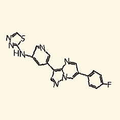 Fc1ccc(-c2cnc3c(-c4cncc(Nc5nncs5)c4)cnn3c2)cc1